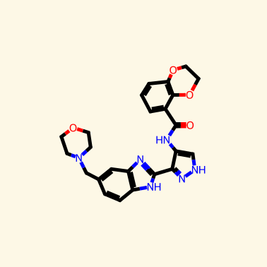 O=C(Nc1c[nH]nc1-c1nc2cc(CN3CCOCC3)ccc2[nH]1)c1cccc2c1OCCO2